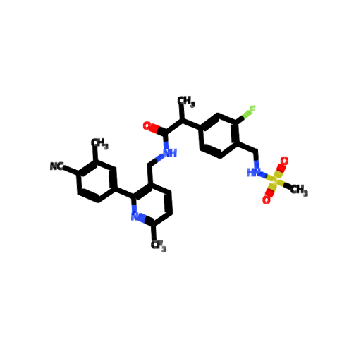 Cc1cc(-c2nc(C(F)(F)F)ccc2CNC(=O)C(C)c2ccc(CNS(C)(=O)=O)c(F)c2)ccc1C#N